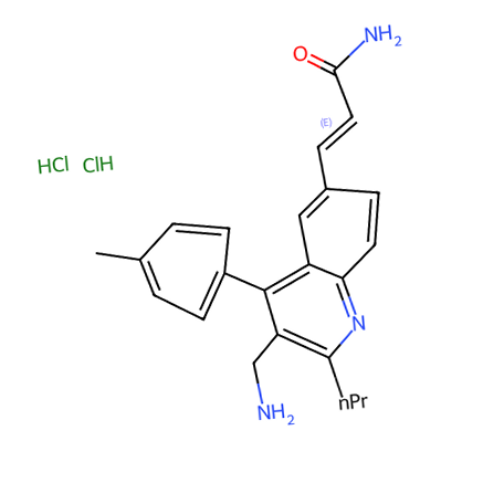 CCCc1nc2ccc(/C=C/C(N)=O)cc2c(-c2ccc(C)cc2)c1CN.Cl.Cl